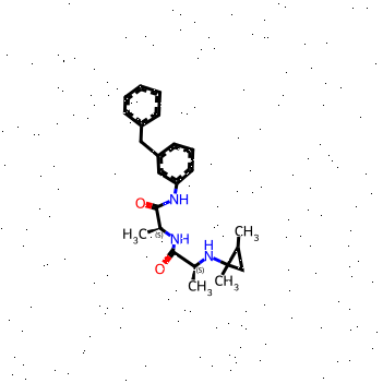 CC1CC1(C)N[C@@H](C)C(=O)N[C@@H](C)C(=O)Nc1cccc(Cc2ccccc2)c1